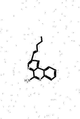 CCCC=Cc1cnc2c(N)nc3ccccc3c2c1